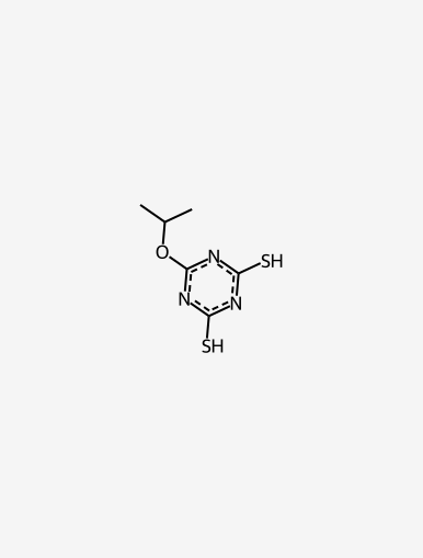 CC(C)Oc1nc(S)nc(S)n1